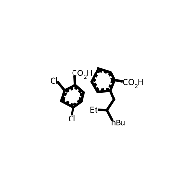 CCCCC(CC)Cc1ccccc1C(=O)O.O=C(O)c1ccc(Cl)cc1Cl